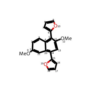 COc1ccc2c(-c3ccco3)c(OC)cc(-c3ccco3)c2c1